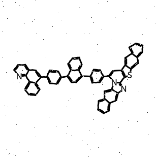 c1ccc2cc3c(cc2c1)nc1c2sc4cc5ccccc5cc4c2cc(-c2ccc(-c4ccc(-c5ccc(-c6cc7cccnc7c7ccccc67)cc5)c5ccccc45)cc2)n31